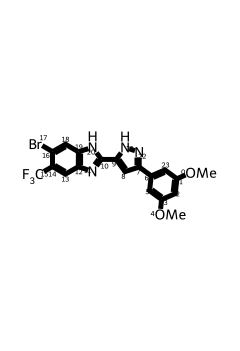 COc1cc(OC)cc(-c2cc(-c3nc4cc(C(F)(F)F)c(Br)cc4[nH]3)[nH]n2)c1